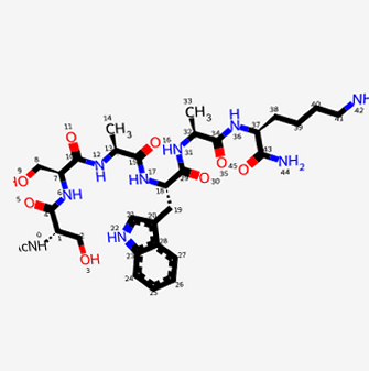 CC(=O)N[C@@H](CO)C(=O)N[C@@H](CO)C(=O)N[C@@H](C)C(=O)N[C@@H](Cc1c[nH]c2ccccc12)C(=O)N[C@@H](C)C(=O)N[C@@H](CCCCN)C(N)=O